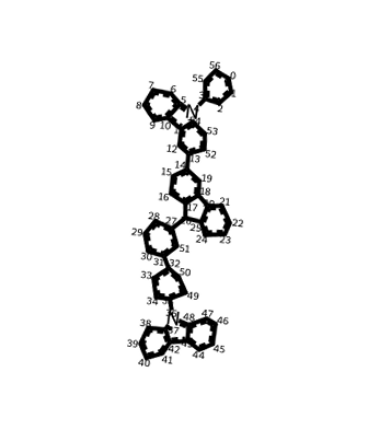 c1ccc(-n2c3ccccc3c3cc(-c4ccc5c(c4)-c4ccccc4C5c4cccc(-c5ccc(-n6c7ccccc7c7ccccc76)cc5)c4)ccc32)cc1